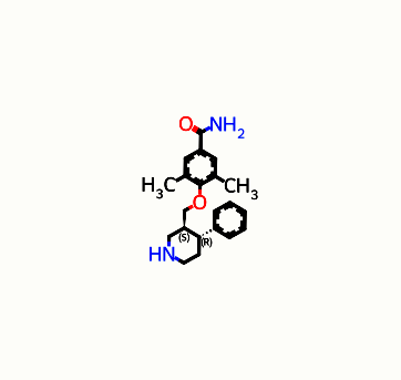 Cc1cc(C(N)=O)cc(C)c1OC[C@@H]1CNCC[C@H]1c1ccccc1